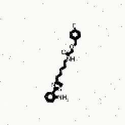 Nc1ccccc1-c1nc(CCCCCNC(=O)COCc2ccc(F)cc2)cs1